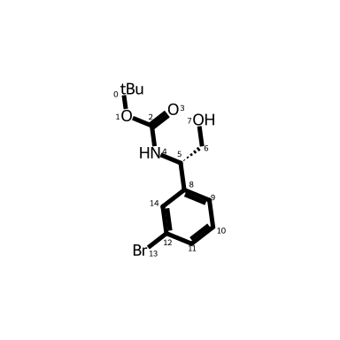 CC(C)(C)OC(=O)N[C@H](CO)c1cccc(Br)c1